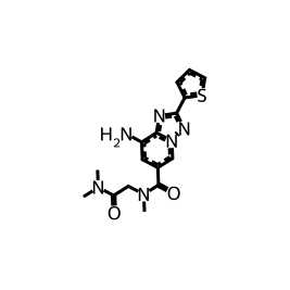 CN(C)C(=O)CN(C)C(=O)c1cc(N)c2nc(-c3cccs3)nn2c1